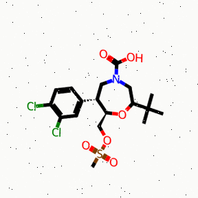 CC(C)(C)C1CN(C(=O)O)C[C@@H](c2ccc(Cl)c(Cl)c2)[C@H](COS(C)(=O)=O)O1